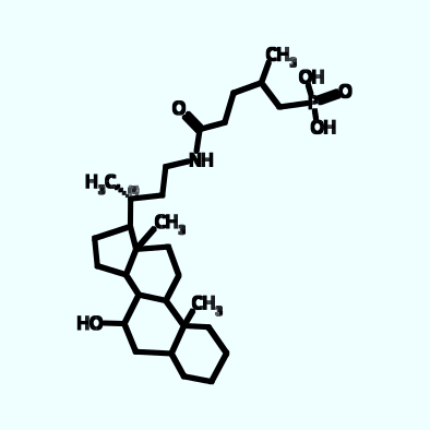 CC(CCC(=O)NCC[C@@H](C)C1CCC2C3C(O)CC4CCCCC4(C)C3CCC21C)CP(=O)(O)O